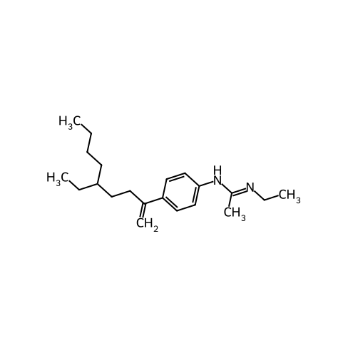 C=C(CCC(CC)CCCC)c1ccc(N/C(C)=N/CC)cc1